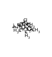 CCCN(CC1CC1)N1c2cc(Cl)[nH]c2C(c2c(C)cc(C)cc2C)=CC1C